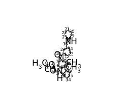 CC(C)OC(=O)C1=CN(C(=O)c2cccc(CNC3CCCCC3)c2)CC(C)(C)c2c1[nH]c1ccccc21